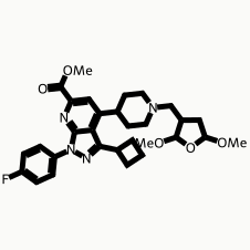 COC(=O)c1cc(C2CCN(CC3CC(OC)OC3OC)CC2)c2c(C3CCC3)nn(-c3ccc(F)cc3)c2n1